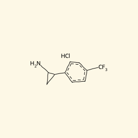 Cl.NC1CC1c1ccc(C(F)(F)F)cc1